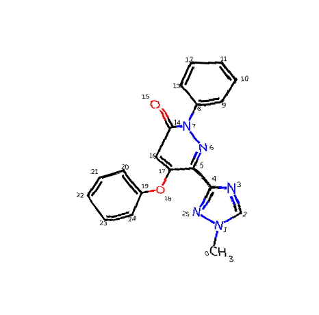 Cn1cnc(-c2nn(-c3ccccc3)c(=O)cc2Oc2ccccc2)n1